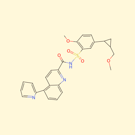 COCC1CC1c1ccc(OC)c(S(=O)(=O)NC(=O)c2ccc3c(-c4ccccn4)cccc3n2)c1